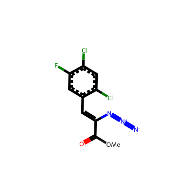 COC(=O)/C(=C/c1cc(F)c(Cl)cc1Cl)N=[N+]=[N-]